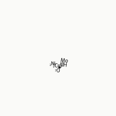 [Cr].[Mo].[Ni].[O]=[AlH]